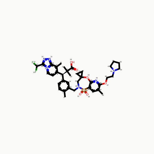 Cc1ccc([C@@H](c2ccn3c(C(F)F)nnc3c2C)C(C)(C)C(=O)O)cc1CN1CC2(CC2)Oc2nc(OCCN3CCCC3)c(C)cc2S1(=O)=O